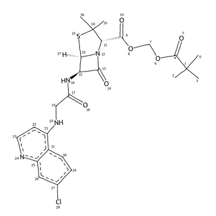 CC(C)(C)C(=O)OCOC(=O)[C@@H]1N2C(=O)[C@@H](NC(=O)CNc3ccnc4cc(Cl)ccc34)[C@H]2SC1(C)C